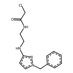 O=C(CCl)NCCNc1ccn(Cc2ccccc2)n1